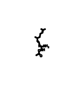 CC(=O)ONC(N)=NC=CC(C)CCC=C(C)C